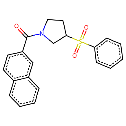 O=C(c1[c]cc2ccccc2c1)N1CCC(S(=O)(=O)c2ccccc2)C1